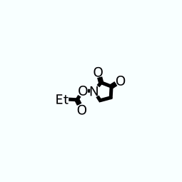 CCC(=O)ON1CCC(=O)C1=O